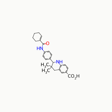 CC1(C)Cc2cc(C(=O)O)ccc2NC1c1ccc(NC(=O)C2=CCCCC2)cc1